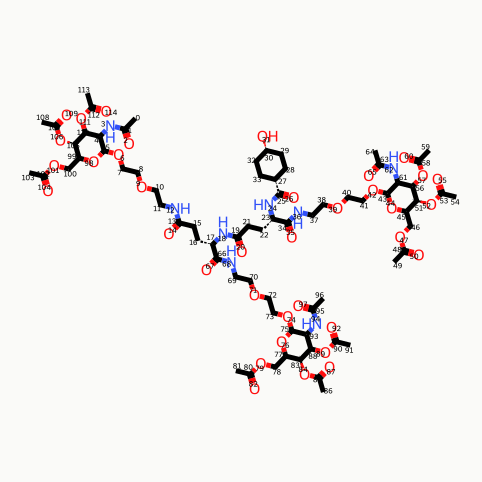 CC(=O)NC1C(OCCOCCNC(=O)CC[C@H](NC(=O)CC[C@H](NC(=O)[C@H]2CC[C@@H](O)CC2)C(=O)NCCOCCOC2OC(COC(C)=O)[C@H](OC(C)=O)C(OC(C)=O)C2NC(C)=O)C(=O)NCCOCCOC2OC(COC(C)=O)[C@H](OC(C)=O)C(OC(C)=O)C2NC(C)=O)OC(COC(C)=O)[C@H](OC(C)=O)C1OC(C)=O